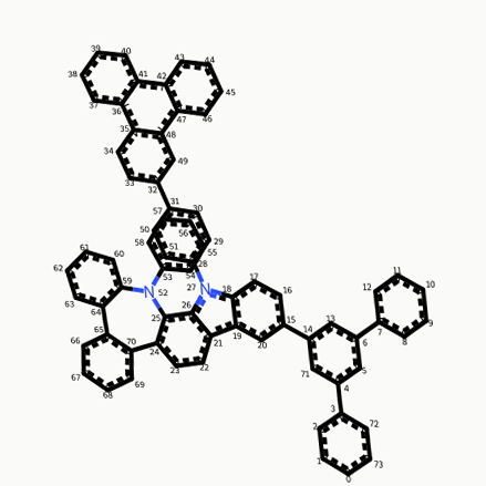 c1ccc(-c2cc(-c3ccccc3)cc(-c3ccc4c(c3)c3ccc5c(c3n4-c3ccc(-c4ccc6c7ccccc7c7ccccc7c6c4)cc3)N(c3ccccc3)c3ccccc3-c3ccccc3-5)c2)cc1